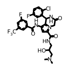 CN(C)CC(O)CNC(=O)c1cc(NC(=O)c2cc(F)cc(C(F)(F)F)c2)c2n1CC(=O)NC2c1cc(F)ccc1Cl